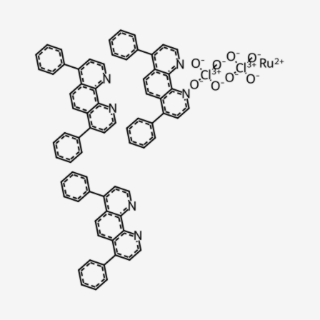 [O-][Cl+3]([O-])([O-])[O-].[O-][Cl+3]([O-])([O-])[O-].[Ru+2].c1ccc(-c2ccnc3c2ccc2c(-c4ccccc4)ccnc23)cc1.c1ccc(-c2ccnc3c2ccc2c(-c4ccccc4)ccnc23)cc1.c1ccc(-c2ccnc3c2ccc2c(-c4ccccc4)ccnc23)cc1